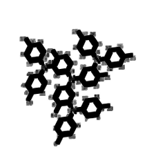 Cc1ccc(N(c2ccc(C)cc2)c2cc(N(c3ccc(C)c(N(c4ccc(C)cc4)c4ccc(C)cc4)c3)c3ccc(C)c(N(c4ccc(C)cc4)c4ccc(C)cc4)c3)ccc2C)cc1